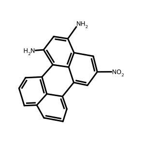 Nc1cc(N)c2c3cccc4cccc(c5cc([N+](=O)[O-])cc1c52)c43